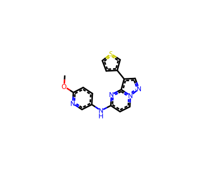 COc1ccc(Nc2ccn3ncc(-c4ccsc4)c3n2)cn1